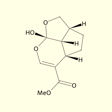 COC(=O)C1=CO[C@]2(O)OC[C@@H]3CC[C@H]1[C@@H]32